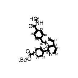 CC(C)(C)OC(=O)N1CC=C(c2nccc3ccn(Cc4ccc(C(=O)NO)cc4)c23)CC1